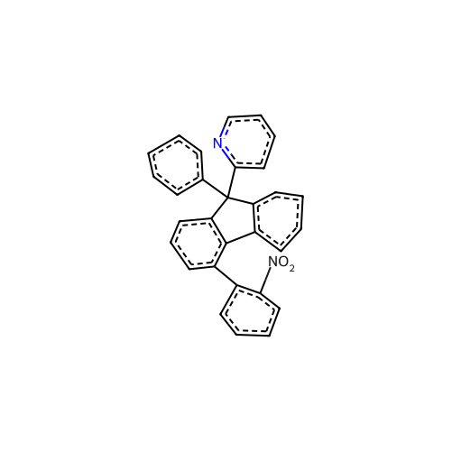 O=[N+]([O-])c1ccccc1-c1cccc2c1-c1ccccc1C2(c1ccccc1)c1ccccn1